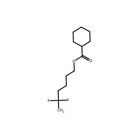 CC(F)(F)CCCCOC(=O)C1CCCCC1